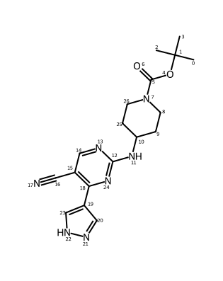 CC(C)(C)OC(=O)N1CCC(Nc2ncc(C#N)c(-c3cn[nH]c3)n2)CC1